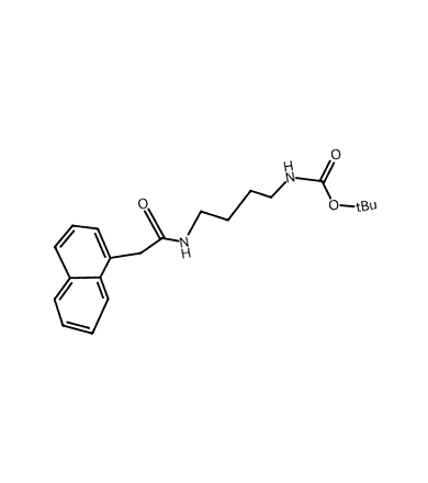 CC(C)(C)OC(=O)NCCCCNC(=O)Cc1cccc2ccccc12